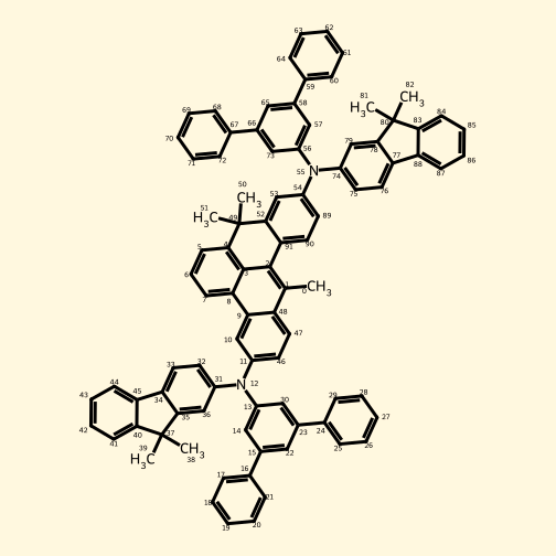 Cc1c2c3c(cccc3c3cc(N(c4cc(-c5ccccc5)cc(-c5ccccc5)c4)c4ccc5c(c4)C(C)(C)c4ccccc4-5)ccc13)C(C)(C)c1cc(N(c3cc(-c4ccccc4)cc(-c4ccccc4)c3)c3ccc4c(c3)C(C)(C)c3ccccc3-4)ccc1-2